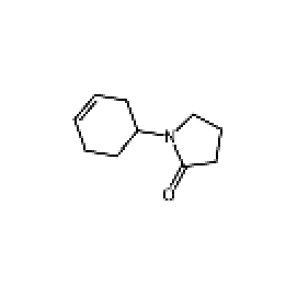 O=C1CCCN1C1CC=CCC1